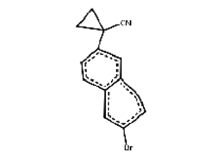 N#CC1(c2ccc3cc(Br)ccc3c2)CC1